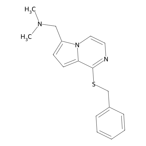 CN(C)Cc1ccc2c(SCc3ccccc3)nccn12